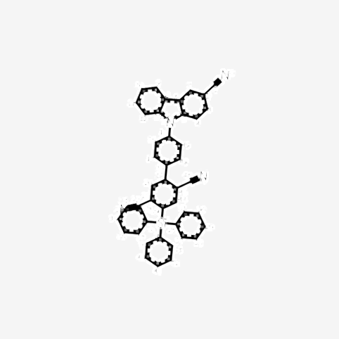 N#Cc1ccc2c(c1)c1ccccc1n2-c1ccc(-c2cc(C#N)c([Si](c3ccccc3)(c3ccccc3)c3ccccc3)cc2C#N)cc1